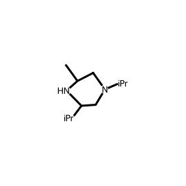 CC1CN(C(C)C)CC(C(C)C)N1